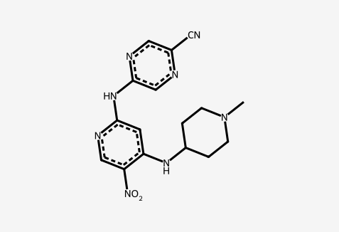 CN1CCC(Nc2cc(Nc3cnc(C#N)cn3)ncc2[N+](=O)[O-])CC1